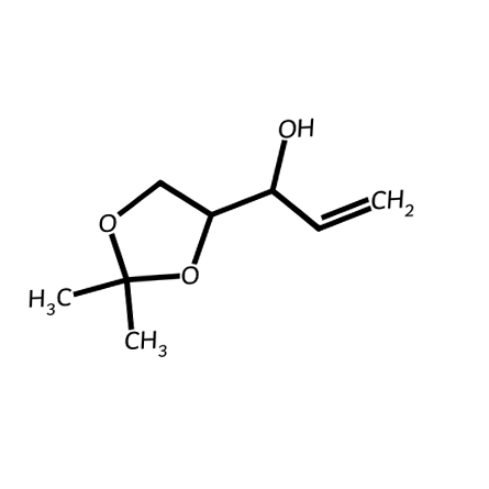 C=CC(O)C1COC(C)(C)O1